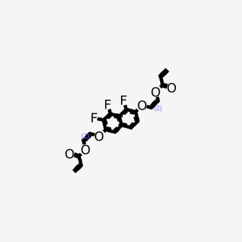 C=CC(=O)O/C=C\Oc1cc2ccc(O/C=C\OC(=O)C=C)c(F)c2c(F)c1F